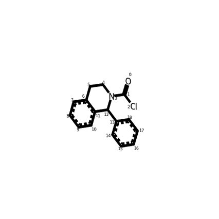 O=C(Cl)N1CCc2ccccc2C1c1ccccc1